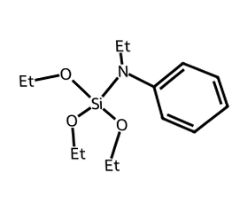 CCO[Si](OCC)(OCC)N(CC)c1ccccc1